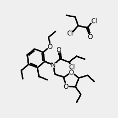 CCC(Cl)C(=O)Cl.CCOc1ccc(CC)c(CC)c1N(CC1OC(CC)C(CC)O1)C(=O)C(Cl)CC